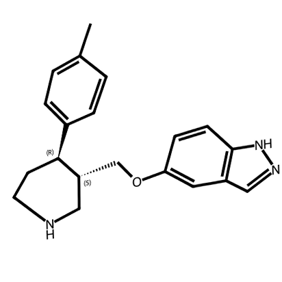 Cc1ccc([C@@H]2CCNC[C@H]2COc2ccc3[nH]ncc3c2)cc1